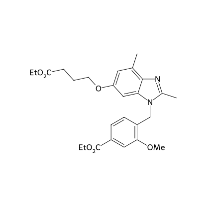 CCOC(=O)CCCOc1cc(C)c2nc(C)n(Cc3ccc(C(=O)OCC)cc3OC)c2c1